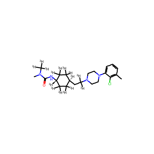 [2H]C([2H])([2H])N(C)C(=O)N[C@]1([2H])C([2H])([2H])C([2H])([2H])[C@@]([2H])(CC([2H])([2H])N2CCN(c3cccc(C)c3Cl)CC2)C([2H])([2H])C1([2H])[2H]